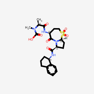 C[C@@H](C(=O)N[C@H]1CCS(=O)(=O)[C@H]2CC[C@@H](C(=O)N[C@@H]3CCCc4ccccc43)N2C1=O)N(C)C(=O)O